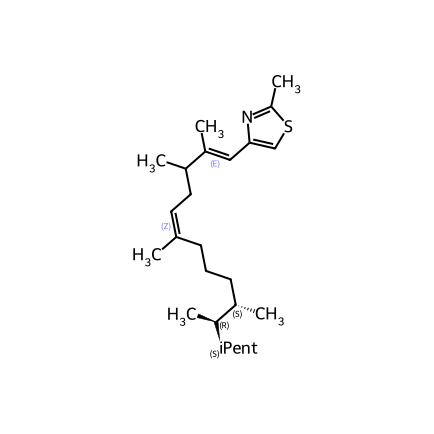 CCC[C@H](C)[C@@H](C)[C@@H](C)CCC/C(C)=C\CC(C)/C(C)=C/c1csc(C)n1